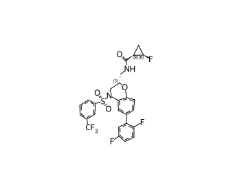 O=C(NC[C@H]1CN(S(=O)(=O)c2cccc(C(F)(F)F)c2)c2cc(-c3cc(F)ccc3F)ccc2O1)[C@H]1C[C@H]1F